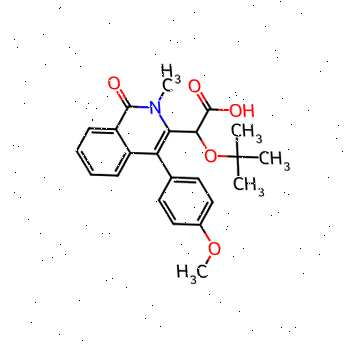 COc1ccc(-c2c(C(OC(C)(C)C)C(=O)O)n(C)c(=O)c3ccccc23)cc1